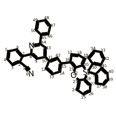 N#Cc1ccccc1-c1cc(-c2cccc(-c3cccc4c3Oc3ccccc3[Si]4(c3ccccc3)c3ccccc3)c2)cc(-c2ccccc2)n1